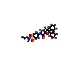 C=CCN(C)S(=O)(=O)c1ccc(N2CC[C@@H](O[Si](c3ccccc3)(c3ccccc3)C(C)(C)C)C2=O)cc1